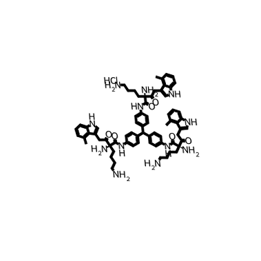 Cc1cccc2[nH]cc(CC(=O)[C@@](N)(CCCCN)C(=O)Nc3ccc(C(c4ccc(NC(=O)[C@](N)(CCCCN)C(=O)Cc5c[nH]c6cccc(C)c56)cc4)c4ccc(NC(=O)[C@](N)(CCCCN)C(=O)Cc5c[nH]c6cccc(C)c56)cc4)cc3)c12.Cl